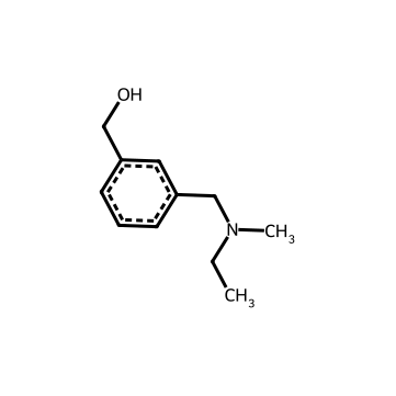 CCN(C)Cc1cccc(CO)c1